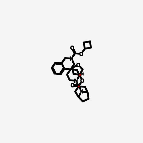 O=C(OC1CCC1)N1Cc2ccccc2C2(CCN(C3CC4CCC(C3)N4C(=O)O[C@H]3CCOC3)CC2)C1